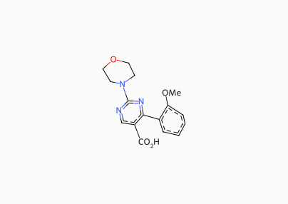 COc1ccccc1-c1nc(N2CCOCC2)ncc1C(=O)O